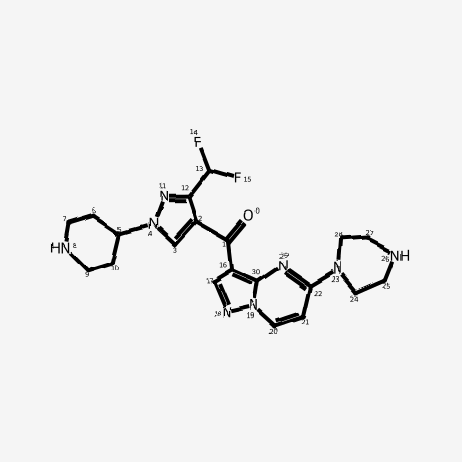 O=C(c1cn(C2CCNCC2)nc1C(F)F)c1cnn2ccc(N3CCNCC3)nc12